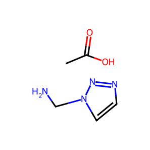 CC(=O)O.NCn1ccnn1